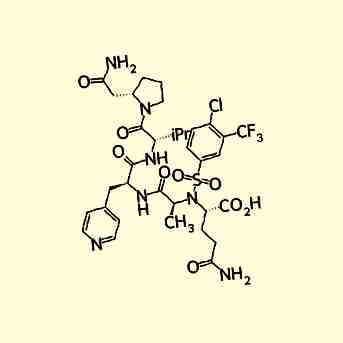 CC(C)[C@H](NC(=O)[C@H](Cc1ccncc1)NC(=O)[C@H](C)N([C@@H](CCC(N)=O)C(=O)O)S(=O)(=O)c1ccc(Cl)c(C(F)(F)F)c1)C(=O)N1CCC[C@H]1CC(N)=O